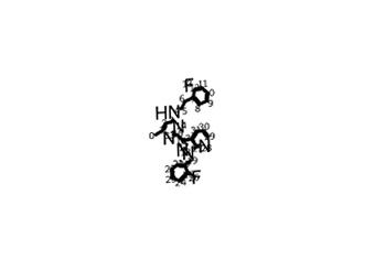 Cc1cc(NCCc2ccccc2F)nc(-c2nn(Cc3ccccc3F)c3ncccc23)n1